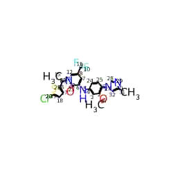 COc1cc(Nc2cc(C(F)F)cn([C@@H](C)c3ccc(Cl)s3)c2=O)ccc1-n1cnc(C)c1